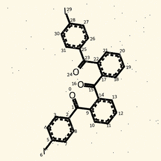 O=C(c1ccc(I)cc1)c1ccccc1C(=O)c1ccccc1C(=O)c1ccc(I)cc1